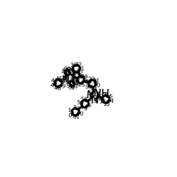 c1ccc(-c2ccc(C3=NC(c4ccccc4)NC(c4cccc(-c5ccc6c(c5)-c5ccccc5C65c6ccccc6N(c6ccccc6)c6ccccc65)c4)=N3)cc2)cc1